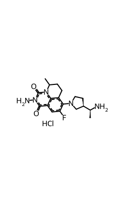 CC1CCc2c(N3CC[C@@H]([C@H](C)N)C3)c(F)cc3c(=O)n(N)c(=O)n1c23.Cl